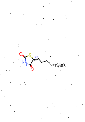 CCCCCCCCC/C=C1/SC(=O)NC1=O